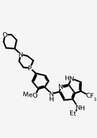 CCNc1cc(Nc2ccc(P3CCN(C4CCOCC4)CC3)cc2OC)nc2[nH]cc(C(F)(F)F)c12